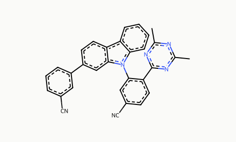 Cc1nc(C)nc(-c2ccc(C#N)cc2-n2c3ccccc3c3ccc(-c4cccc(C#N)c4)cc32)n1